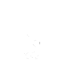 N#CC1CCC(c2nccn3ncc(-c4ccc(OCCOC5CCOCC5)cc4)c23)CC1